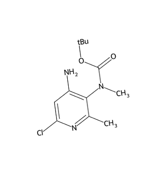 Cc1nc(Cl)cc(N)c1N(C)C(=O)OC(C)(C)C